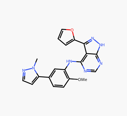 COc1ccc(-c2ccnn2C)cc1Nc1ncnc2[nH]nc(-c3ccco3)c12